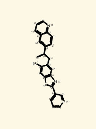 CCc1cc2sc(-c3cccnc3)nc2cc1CC(C)c1ccc2ncccc2c1